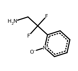 NCC(F)(F)c1cccc[n+]1[O-]